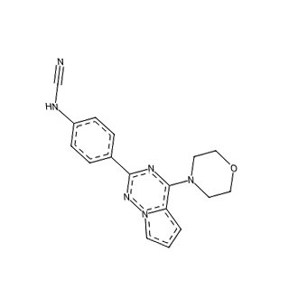 N#CNc1ccc(-c2nc(N3CCOCC3)c3cccn3n2)cc1